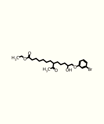 CCOC(=O)CCCCCCC(CCCC(O)COc1cccc(Br)c1)C(C)=O